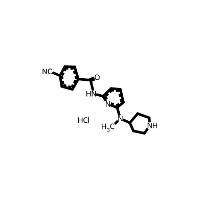 CN(c1cccc(NC(=O)c2ccc(C#N)cc2)n1)C1CCNCC1.Cl